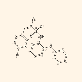 N#CC(=Cc1ccc(Br)cc1)S(=O)(=O)Nc1ccccc1Oc1ccccc1